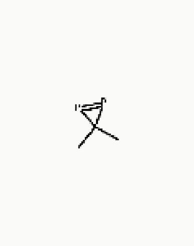 CC1(C)P=P1